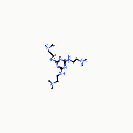 CN(C)CCNc1nc(NCCN(C)C)nc(NCCN(C)C)n1